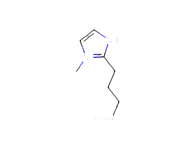 CCCCCCCCCc1[nH]cc[n+]1C.[Cl-]